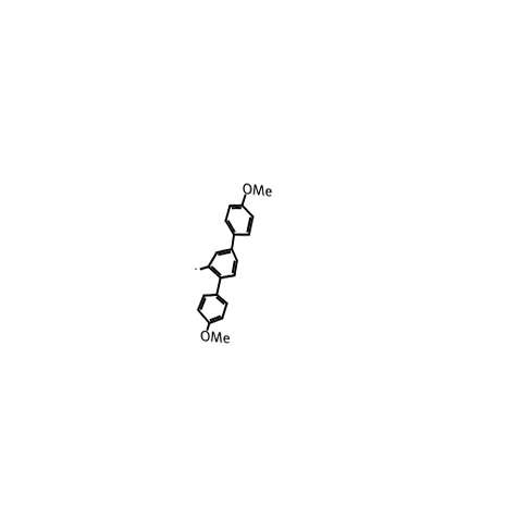 [CH2]c1cc(-c2ccc(OC)cc2)ccc1-c1ccc(OC)cc1